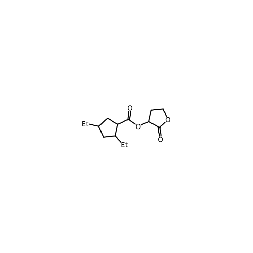 CCC1CC(CC)C(C(=O)OC2CCOC2=O)C1